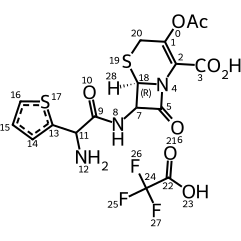 CC(=O)OC1=C(C(=O)O)N2C(=O)C(NC(=O)C(N)c3cccs3)[C@H]2SC1.O=C(O)C(F)(F)F